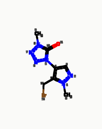 Cn1ncc(-n2nnn(C)c2=O)c1CBr